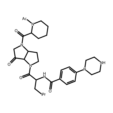 CC(=O)N1CCCCC1C(=O)N1CC(=O)C2C1CCN2C(=O)C(CC(C)C)NC(=O)c1ccc(N2CCNCC2)cc1